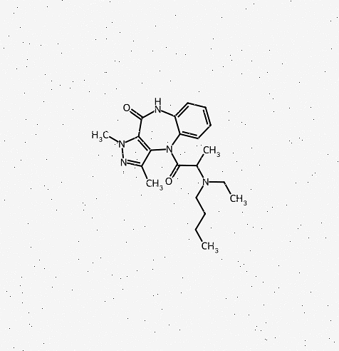 CCCCN(CC)C(C)C(=O)N1c2ccccc2NC(=O)c2c1c(C)nn2C